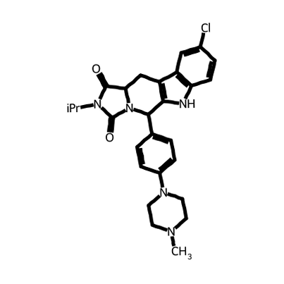 CC(C)N1C(=O)C2Cc3c([nH]c4ccc(Cl)cc34)C(c3ccc(N4CCN(C)CC4)cc3)N2C1=O